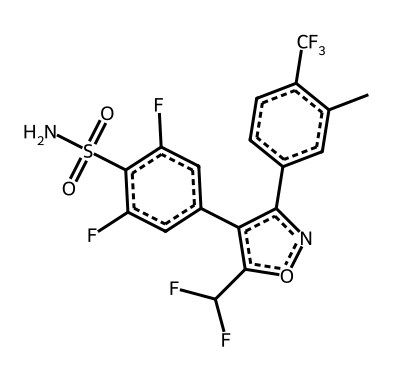 Cc1cc(-c2noc(C(F)F)c2-c2cc(F)c(S(N)(=O)=O)c(F)c2)ccc1C(F)(F)F